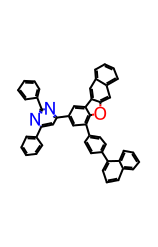 c1ccc(-c2cc(-c3cc(-c4ccc(-c5cccc6ccccc56)cc4)c4oc5cc6ccccc6cc5c4c3)nc(-c3ccccc3)n2)cc1